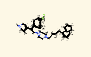 CN1CC=C(C(CN2CCN(CCCCc3cccc4ccccc34)CC2)c2ccc(F)cc2)CC1